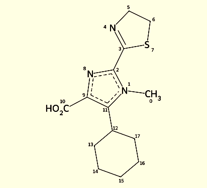 Cn1c(C2=NCCS2)nc(C(=O)O)c1C1CCCCC1